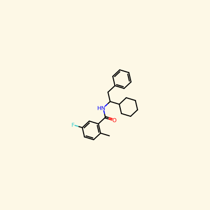 Cc1ccc(F)cc1C(=O)NC(Cc1ccccc1)C1CCCCC1